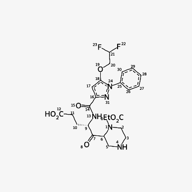 CCOC(=O)N1CCNCC1C(=O)[C@H](CCC(=O)O)NC(=O)c1cc(OCC(F)F)n(-c2ccccc2)n1